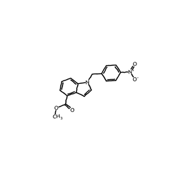 COC(=O)c1cccc2c1ccn2Cc1ccc([N+](=O)[O-])cc1